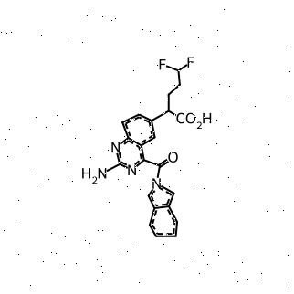 Nc1nc(C(=O)n2cc3ccccc3c2)c2cc(C(CCC(F)F)C(=O)O)ccc2n1